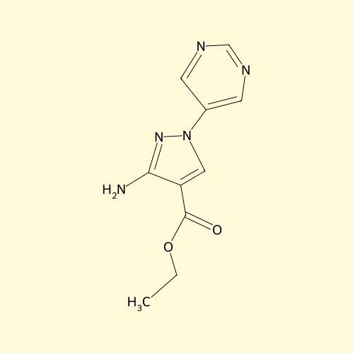 CCOC(=O)c1cn(-c2cncnc2)nc1N